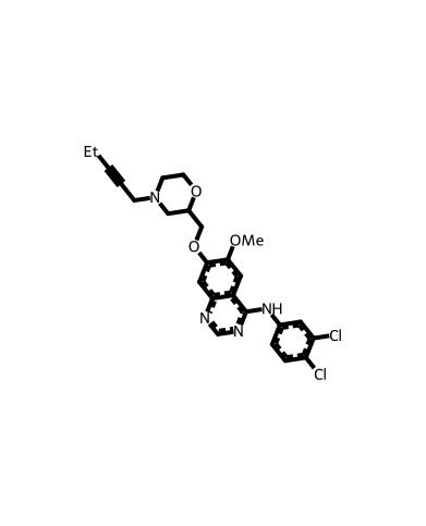 CCC#CCN1CCOC(COc2cc3ncnc(Nc4ccc(Cl)c(Cl)c4)c3cc2OC)C1